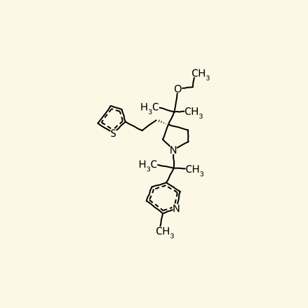 CCOC(C)(C)[C@@]1(CCc2cccs2)CCN(C(C)(C)c2ccc(C)nc2)C1